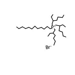 CCCCCCCCCCCC[P+](CC(CC)CCCC)(CC(CC)CCCC)CC(CC)CCCC.[Br-]